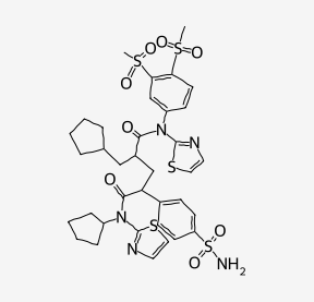 CS(=O)(=O)c1ccc(N(C(=O)C(CC2CCCC2)CC(C(=O)N(c2nccs2)C2CCCC2)c2ccc(S(N)(=O)=O)cc2)c2nccs2)cc1S(C)(=O)=O